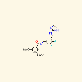 COc1cc(OC)cc(C(=O)NCc2cc(F)c(F)c(CNC3=NCCN3)c2)c1